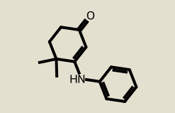 CC1(C)CCC(=O)C=C1Nc1ccccc1